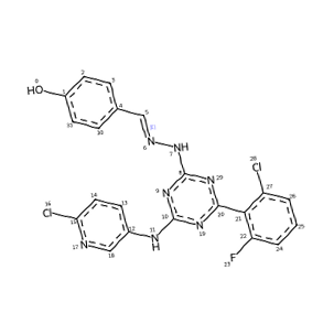 Oc1ccc(/C=N/Nc2nc(Nc3ccc(Cl)nc3)nc(-c3c(F)cccc3Cl)n2)cc1